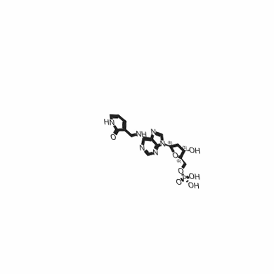 O=c1[nH]cccc1CNc1ncnc2c1ncn2[C@H]1C[C@H](O)[C@@H](COP(=O)(O)O)O1